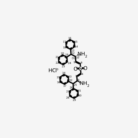 Cl.N[C@H](C=CS(=O)(=O)C=C[C@@H](N)C(c1ccccc1)c1ccccc1)C(c1ccccc1)c1ccccc1